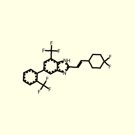 FC1(F)CCC(/C=C/c2nc3cc(-c4ccccc4C(F)(F)F)cc(C(F)(F)F)c3[nH]2)CC1